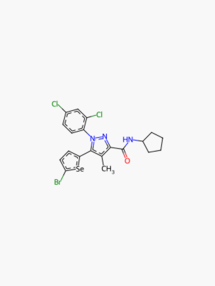 Cc1c(C(=O)NC2CCCC2)nn(-c2ccc(Cl)cc2Cl)c1-c1ccc(Br)[se]1